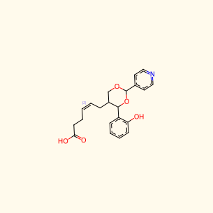 O=C(O)CC/C=C\CC1COC(c2ccncc2)OC1c1ccccc1O